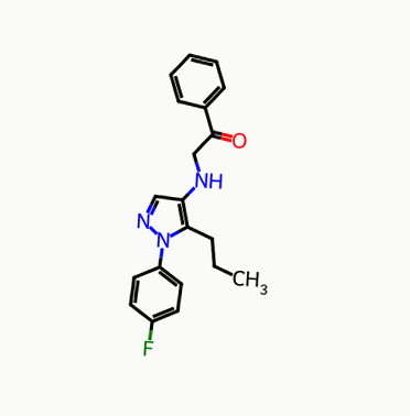 CCCc1c(NCC(=O)c2ccccc2)cnn1-c1ccc(F)cc1